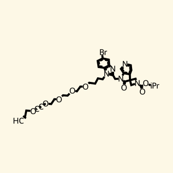 C#CCOCCOCCOCCOCCOCCCCn1c(CN2C(=O)C3(CN(C(=O)OC(C)C)C3)c3ccncc32)nc2cc(Br)ccc21